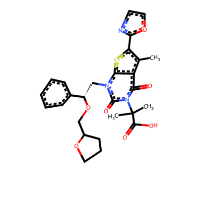 Cc1c(-c2ncco2)sc2c1c(=O)n(C(C)(C)C(=O)O)c(=O)n2C[C@H](OCC1CCCO1)c1ccccc1